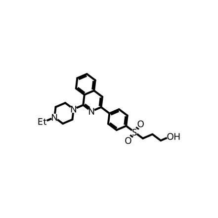 CCN1CCN(c2nc(-c3ccc(S(=O)(=O)CCCO)cc3)cc3ccccc23)CC1